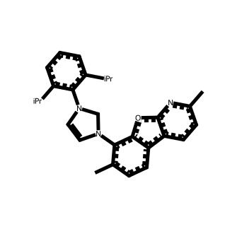 Cc1ccc2c(n1)oc1c(N3C=CN(c4c(C(C)C)cccc4C(C)C)C3)c(C)ccc12